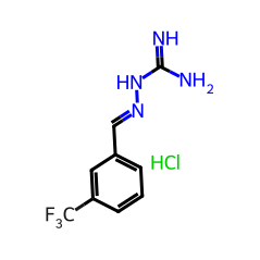 Cl.N=C(N)NN=Cc1cccc(C(F)(F)F)c1